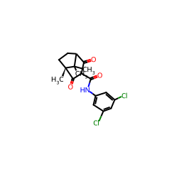 CC1(C)C2CC[C@@]1(C)C(=O)C(C(=O)Nc1cc(Cl)cc(Cl)c1)C2=O